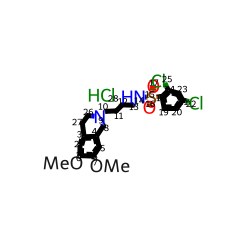 COc1cc2c(cc1OC)CN(CCCCNS(=O)(=O)c1ccc(Cl)cc1Cl)CC2.Cl